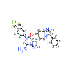 N[C@H]1CN(c2ccc(C(F)(F)F)cc2)C(=O)c2c(-c3ccc4ncc(-c5ccccc5)n4c3)cnn21